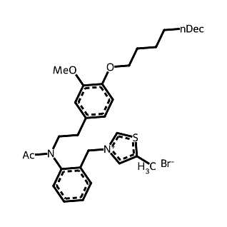 CCCCCCCCCCCCCCOc1ccc(CCN(C(C)=O)c2ccccc2C[n+]2csc(C)c2)cc1OC.[Br-]